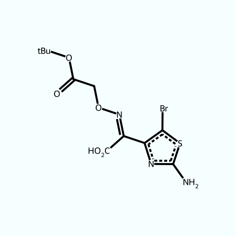 CC(C)(C)OC(=O)CO/N=C(\C(=O)O)c1nc(N)sc1Br